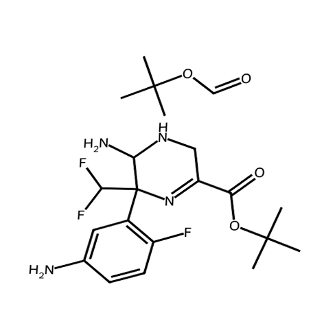 CC(C)(C)OC(=O)C1=NC(c2cc(N)ccc2F)(C(F)F)C(N)NC1.CC(C)(C)OC=O